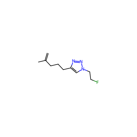 C=C(C)CCCc1cn(CCF)nn1